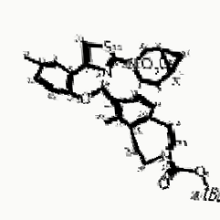 CCOC(=O)[C@@]12CCN(c3nc(-c4cc(C)ccc4OCc4ccc5c(c4C)CCN(C(=O)OC(C)(C)C)CC5)cs3)CC1C2